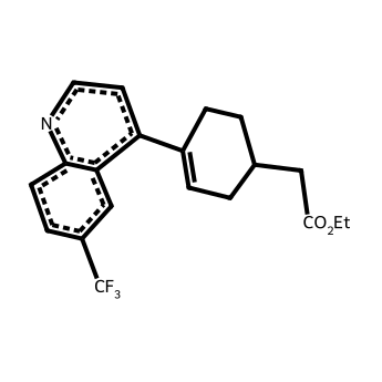 CCOC(=O)CC1CC=C(c2ccnc3ccc(C(F)(F)F)cc23)CC1